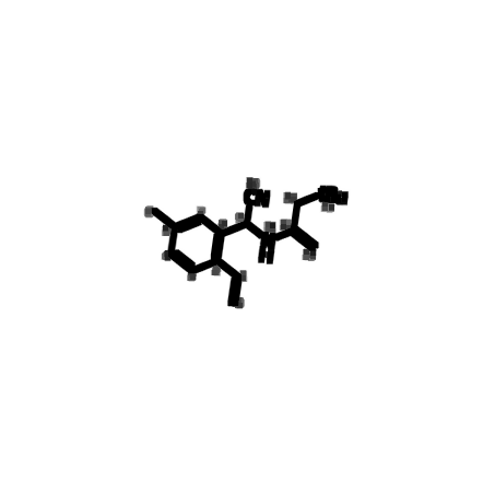 C=Cc1ccc(C)cc1C(C#N)NC(=C)CC(C)(C)C